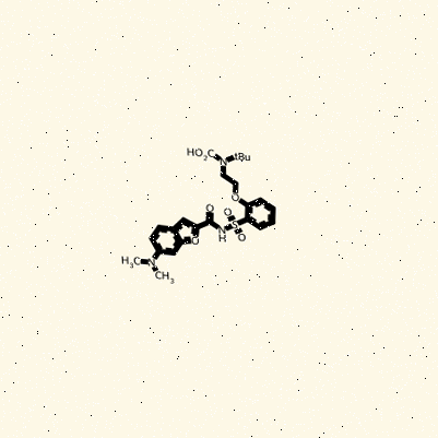 CN(C)c1ccc2cc(C(=O)NS(=O)(=O)c3ccccc3OCCN(C(=O)O)C(C)(C)C)oc2c1